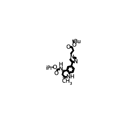 CC(C)OC(=O)N[C@H]1C[C@@H](C)Nc2ccc(-c3cn(CCC(=O)OC(C)(C)C)cn3)cc21